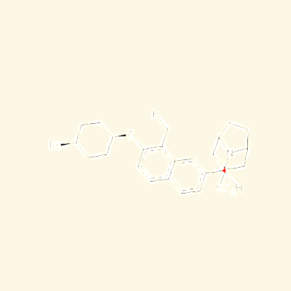 CC[C@H]1CC[C@@H](Oc2ccc3ccc(C(C)N4C5CCC4CC(C(=O)O)C5)cc3c2CF)CC1